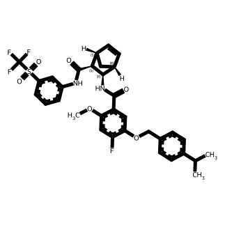 COc1cc(F)c(OCc2ccc(C(C)C)cc2)cc1C(=O)N[C@H]1[C@@H](C(=O)Nc2cccc(S(=O)(=O)C(F)(F)F)c2)[C@@H]2C=C[C@H]1C2